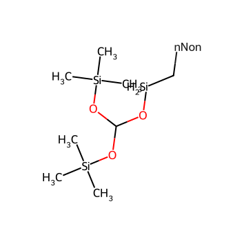 CCCCCCCCCC[SiH2]OC(O[Si](C)(C)C)O[Si](C)(C)C